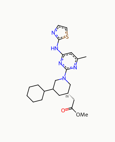 COC(=O)C[C@@H]1CC(C2CCCCC2)CN(c2nc(C)cc(Nc3nccs3)n2)C1